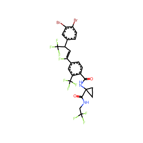 O=C(NC1(C(=O)NCC(F)(F)F)CC1)c1ccc(C(F)=CC(c2ccc(Br)c(Br)c2)C(F)(F)F)cc1C(F)(F)F